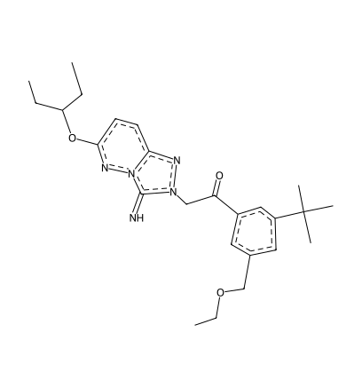 CCOCc1cc(C(=O)Cn2nc3ccc(OC(CC)CC)nn3c2=N)cc(C(C)(C)C)c1